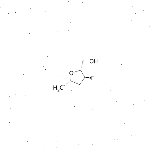 C[C@H]1C[C@H](F)[C@@H](CO)O1